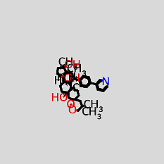 CC1(C)COOC2(CC[C@@]34Cc5cc(-c6cccnc6)ccc5[C@H]5C[C@@]6(C)[C@@H](CC[C@]6(C)O)[C@H](CC[C@@]3(O)C2)[C@]54O)C1